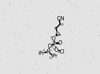 CC(C)N(OP(=O)(OCl)OOCCC#N)C(C)C